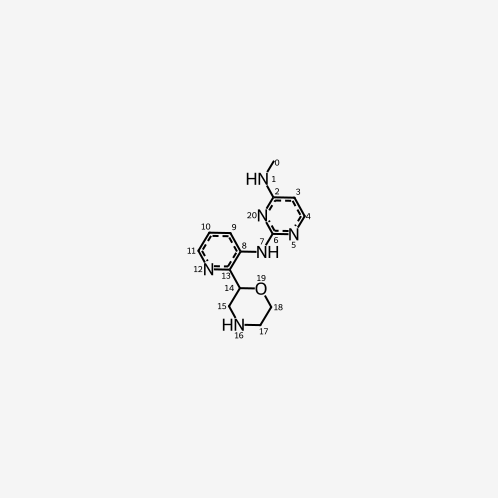 CNc1ccnc(Nc2cccnc2C2CNCCO2)n1